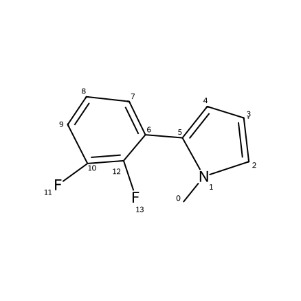 Cn1c[c]cc1-c1cccc(F)c1F